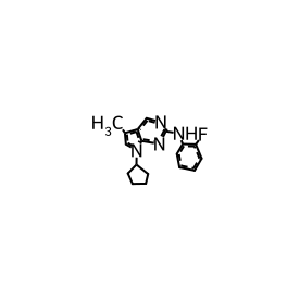 Cc1cn(C2CCCC2)c2nc(Nc3ccccc3F)ncc12